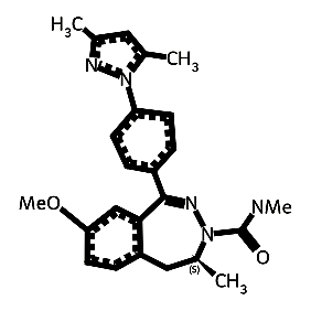 CNC(=O)N1N=C(c2ccc(-n3nc(C)cc3C)cc2)c2cc(OC)ccc2C[C@@H]1C